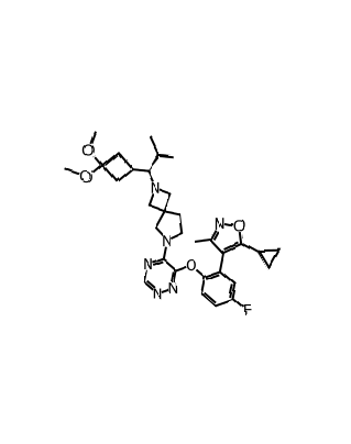 COC1(OC)CC([C@@H](C(C)C)N2CC3(CCN(c4ncnnc4Oc4ccc(F)cc4-c4c(C)noc4C4CC4)C3)C2)C1